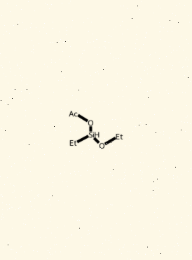 CCO[SiH](CC)OC(C)=O